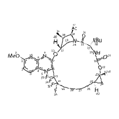 COc1ccc2nc3c(nc2c1)O[C@H]1CN(C(=O)[C@H](C(C)(C)C)NC(=O)O[C@@H]2C[C@H]2CCCCC(F)(F)C3(F)F)[C@H](C(C)=O)[C@@H]1C